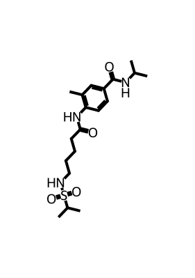 Cc1cc(C(=O)NC(C)C)ccc1NC(=O)CCCCNS(=O)(=O)C(C)C